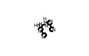 c1cncc(-c2cc3c(-c4nc5c(-c6cccnc6)cncc5[nH]4)n[nH]c3cn2)c1